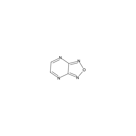 c1cnc2nonc2n1